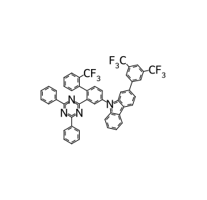 FC(F)(F)c1cc(-c2ccc3c4ccccc4n(-c4ccc(-c5ccccc5C(F)(F)F)c(-c5nc(-c6ccccc6)nc(-c6ccccc6)n5)c4)c3c2)cc(C(F)(F)F)c1